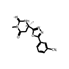 CN1C(=N)N[C@@](C)(c2nnc(-c3cccc(C#N)c3)o2)CC1=O